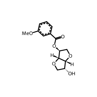 COc1cccc(C(=O)O[C@H]2CO[C@H]3[C@@H]2OC[C@H]3O)c1